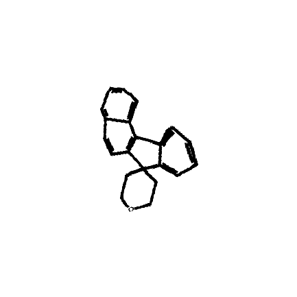 c1ccc2c(c1)-c1c(ccc3ccccc13)C21CCOCC1